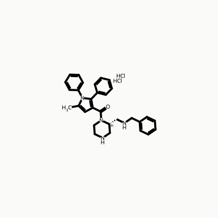 Cc1cc(C(=O)N2CCNC[C@H]2CNCc2ccccc2)c(-c2ccccc2)n1-c1ccccc1.Cl.Cl